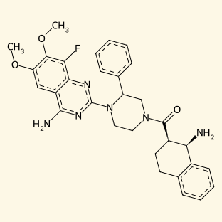 COc1cc2c(N)nc(N3CCN(C(=O)[C@@H]4CCc5ccccc5[C@@H]4N)CC3c3ccccc3)nc2c(F)c1OC